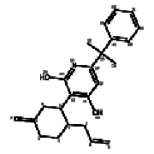 C=CCC1CCC(=O)CC1c1c(O)cc(C(C)(C)c2ccccc2)nc1O